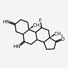 C[C@]12CCC(=N)CC1C(=N)CC1C2C(F)C[C@]2(C)C(=O)CCC12